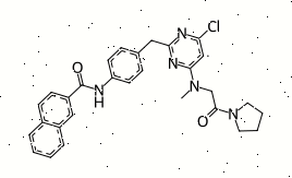 CN(CC(=O)N1CCCC1)c1[c]c(Cl)nc(Cc2ccc(NC(=O)c3ccc4ccccc4c3)cc2)n1